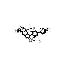 Cc1cc(-c2ccc(Cl)cn2)cc(C)c1C1C(=O)CC(CC(=O)NC(C)C)C1=O